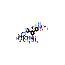 [2H]N1CCN(c2cc(-c3cc(C(=O)NC)cc(-c4ccc(NC(C)=O)c(F)c4)c3OC)ccn2)CC1C(C)(C)C